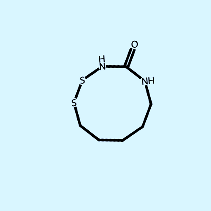 O=C1NCCCCCSSN1